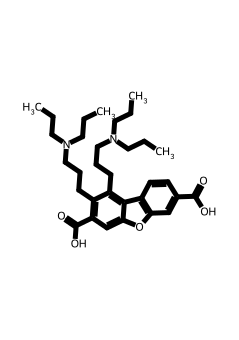 CCCN(CCC)CCCc1c(C(=O)O)cc2oc3cc(C(=O)O)ccc3c2c1CCCN(CCC)CCC